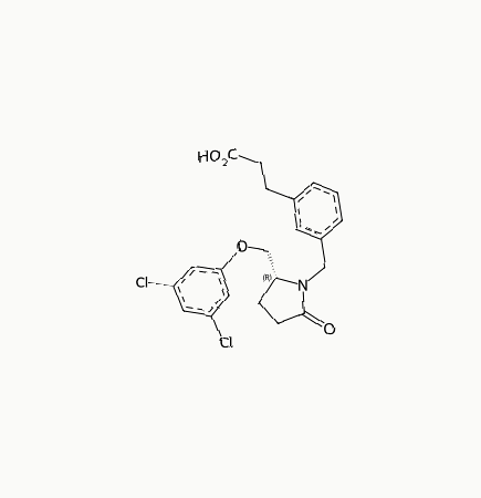 O=C(O)CCc1cccc(CN2C(=O)CC[C@@H]2COc2cc(Cl)cc(Cl)c2)c1